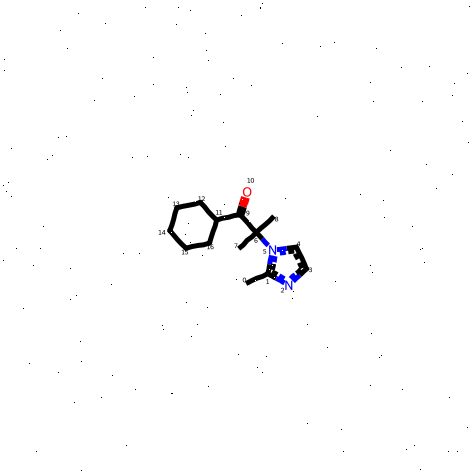 Cc1nccn1C(C)(C)C(=O)C1CCCCC1